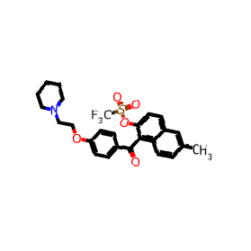 Cc1ccc2c(C(=O)c3ccc(OCCN4CCCCC4)cc3)c(OS(=O)(=O)C(F)(F)F)ccc2c1